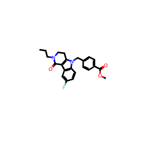 CCCN1CCc2c(c3cc(F)ccc3n2Cc2ccc(C(=O)OC)cc2)C1=O